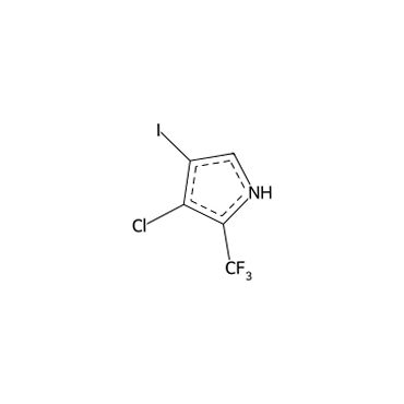 FC(F)(F)c1[nH]cc(I)c1Cl